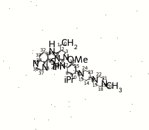 C=Cc1cnc(Nc2cc(C(C)C)c(N3CCC(N4CCN(C)CC4)CC3)cc2OC)nc1Nc1ccc2nccnc2c1SC(C)C